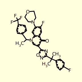 CC(c1ccc(C(F)(F)F)cc1)n1cc(-c2nc(C(C)(C)c3ccc(F)cc3)no2)c(=O)c2cc(F)c(N3CCOCC3)cc21